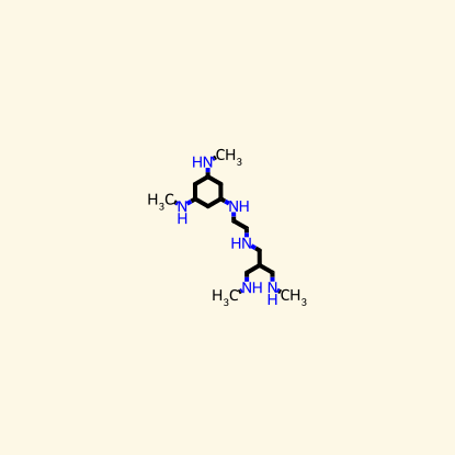 CNCC(CNC)CNCCNC1CC(NC)CC(NC)C1